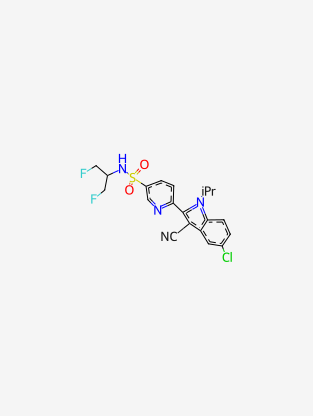 CC(C)n1c(-c2ccc(S(=O)(=O)NC(CF)CF)cn2)c(C#N)c2cc(Cl)ccc21